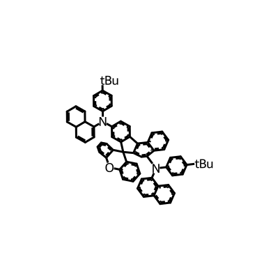 CC(C)(C)c1ccc(N(C2=CC=CC3C=CC=CC23)c2ccc3c(c2)C2(c4ccccc4Oc4ccccc42)c2cc(N(c4ccc(C(C)(C)C)cc4)c4cccc5ccccc45)c4ccccc4c2-3)cc1